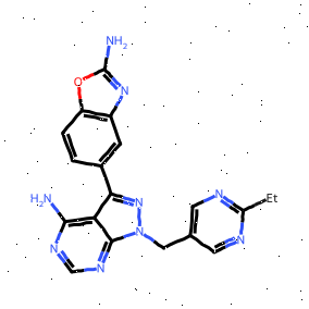 CCc1ncc(Cn2nc(-c3ccc4oc(N)nc4c3)c3c(N)ncnc32)cn1